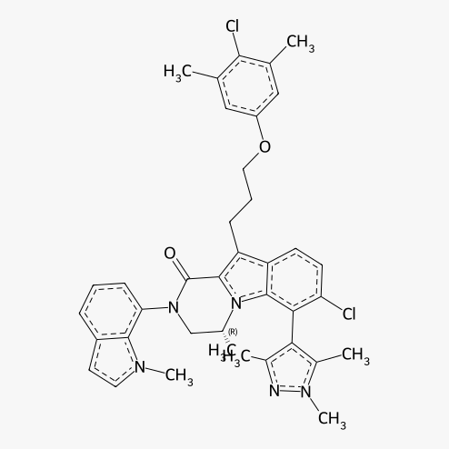 Cc1cc(OCCCc2c3n(c4c(-c5c(C)nn(C)c5C)c(Cl)ccc24)[C@H](C)CN(c2cccc4ccn(C)c24)C3=O)cc(C)c1Cl